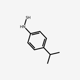 CC(C)c1ccc(NS)cc1